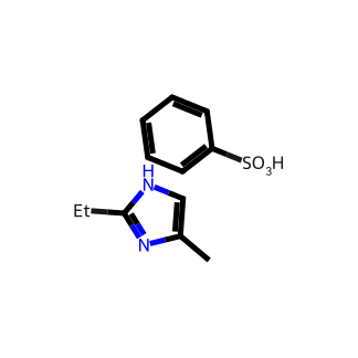 CCc1nc(C)c[nH]1.O=S(=O)(O)c1ccccc1